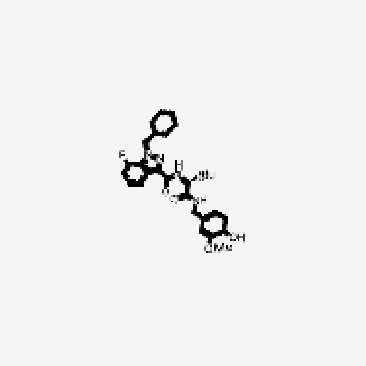 COC1=CC(CNC(=O)[C@@H](NC(=O)c2nn(CC3CCCCC3)c3c(F)cccc23)C(C)(C)C)=CCC1O